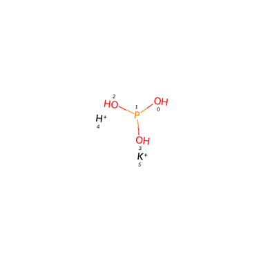 OP(O)O.[H+].[K+]